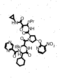 CCCC(NC(=O)[C@H]1C[C@H](Oc2ncccc2[N+](=O)[O-])CN1C(=O)C(NC(=O)C(NC(=O)c1cnccn1)C1CCCCC1)C(C)(C)C)C(=O)C(=O)NC1CC1